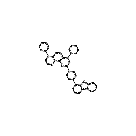 c1ccc(-c2ccnc3c2ccc2c(-c4ccccc4)cc(-c4ccc(-c5cccc6c5sc5ccccc56)cc4)nc23)cc1